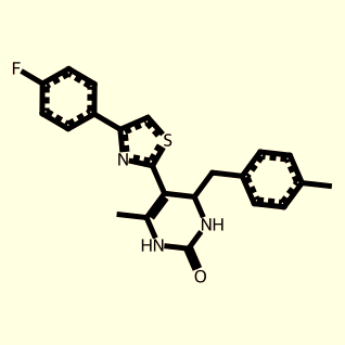 CC1=C(c2nc(-c3ccc(F)cc3)cs2)C(Cc2ccc(C)cc2)NC(=O)N1